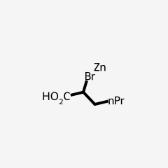 CCCCC(Br)C(=O)O.[Zn]